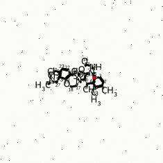 Cc1ccc(F)c(C(C)[C@@H](c2n[nH]c(=O)o2)N2CCOc3c(ccc(Cl)c3CN(C)C)S2(=O)=O)c1C